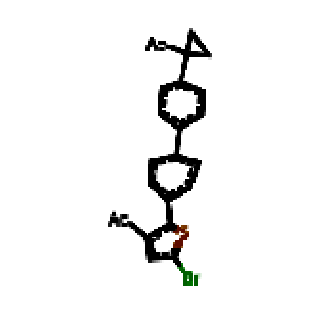 CC(=O)c1cc(Br)sc1-c1ccc(-c2ccc(C3(C(C)=O)CC3)cc2)cc1